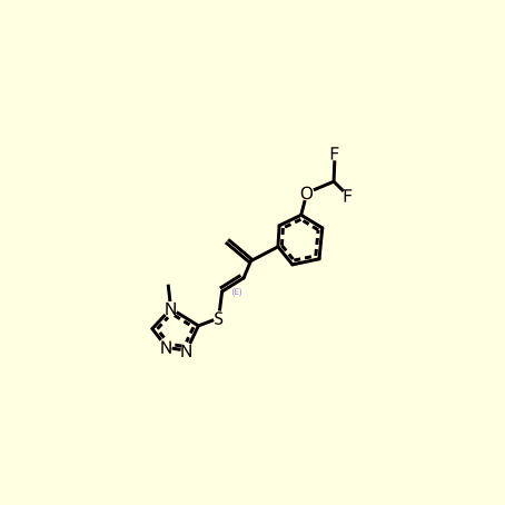 C=C(/C=C/Sc1nncn1C)c1cccc(OC(F)F)c1